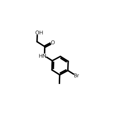 Cc1cc(NC(=O)CO)ccc1Br